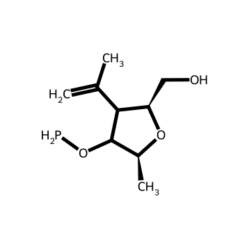 C=C(C)C1C(OP)[C@H](C)O[C@@H]1CO